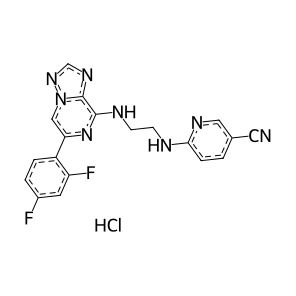 Cl.N#Cc1ccc(NCCNc2nc(-c3ccc(F)cc3F)cn3ncnc23)nc1